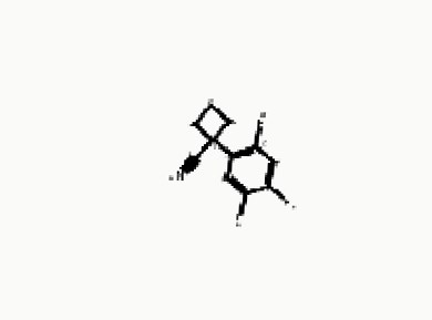 N#CC1(c2cc(F)c(F)cc2F)CCC1